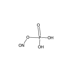 O=NOP(=O)(O)O